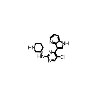 Clc1cnc(N[C@H]2CCCNC2)nc1-c1c[nH]c2cccnc12